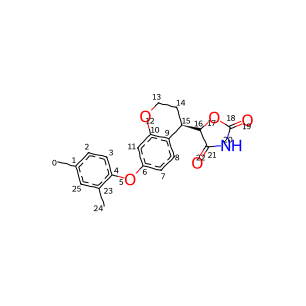 Cc1ccc(Oc2ccc3c(c2)OCC[C@H]3C2OC(=O)NC2=O)c(C)c1